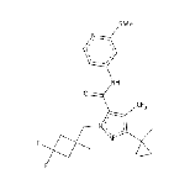 CSc1cc(NC(=O)c2c(C(F)(F)F)c(C3(C)CC3)nn2CC2(C)CC(F)(F)C2)ccn1